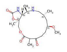 CO[C@H]1CCC(=O)C(C)C(=O)OC[C@@]2(C)OC(=O)N[C@@H]2[C@@H](C)NC[C@H](C)C1